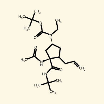 C=CCC1C[C@@H](N(CC)C(=O)OC(C)(C)C)C[C@@]1(NC(C)=O)C(=O)NC(C)(C)C